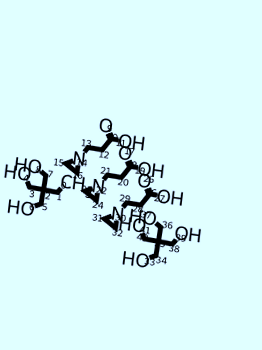 CCC(CO)(CO)CO.O=C(O)CCN1CC1.O=C(O)CCN1CC1.O=C(O)CCN1CC1.OCC(CO)(CO)CO